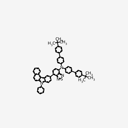 CC(C)(C)c1ccc(-c2ccc(N(c3ccc(-c4ccc(C(C)(C)C)cc4)cc3)c3ccc(-c4ccc5c(c4)c4c6ccccc6ccc4n5-c4ccccc4)c4nsnc34)cc2)cc1